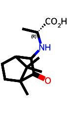 C[C@@H](NC1C(=O)C2(C)CCC1C2(C)C)C(=O)O